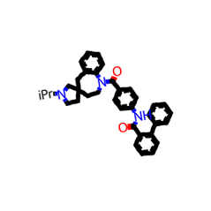 CC(C)N1CCC2(CCN(C(=O)c3ccc(NC(=O)c4ccccc4-c4ccccc4)cc3)c3ccccc3C2)C1